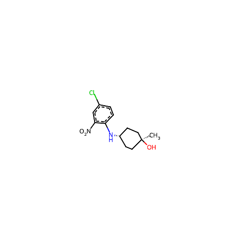 C[C@]1(O)CC[C@H](Nc2ccc(Cl)cc2[N+](=O)[O-])CC1